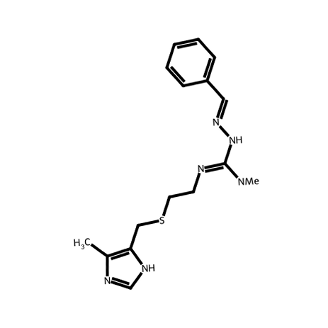 CNC(=NCCSCc1[nH]cnc1C)NN=Cc1ccccc1